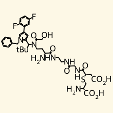 CC(C)(C)C(c1cc(-c2cc(F)ccc2F)cn1Cc1ccccc1)N(CC[C@H](N)C(=O)NCCNC(=O)CNC(=O)[C@@H](CC(=O)O)SC[C@H](N)C(=O)O)C(=O)CO